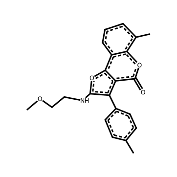 COCCNc1oc2c(c1-c1ccc(C)cc1)c(=O)oc1c(C)cccc12